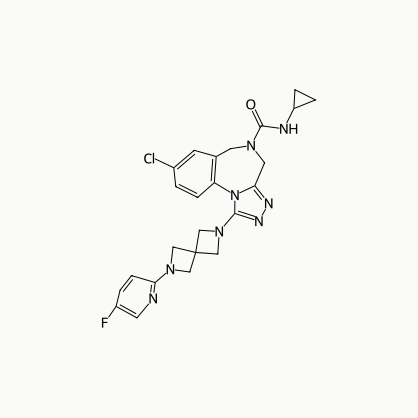 O=C(NC1CC1)N1Cc2cc(Cl)ccc2-n2c(nnc2N2CC3(CN(c4ccc(F)cn4)C3)C2)C1